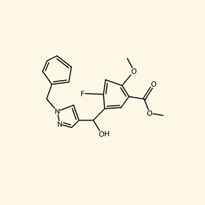 COC(=O)c1cc(C(O)c2cnn(Cc3ccccc3)c2)c(F)cc1OC